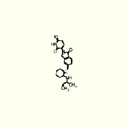 CCC(C)NC1CCCC[C@@H]1Cc1ccc2c(c1)CN(C1CCC(=O)NC1=O)C2=O